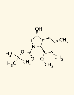 C=CC[C@@H]1[C@H](O)CN(C(=O)OC(C)(C)C)[C@@H]1C(OC)=S=C